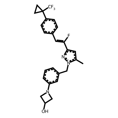 Cc1cc(/C(F)=C/c2ccc(C3(C(F)(F)F)CC3)cc2)nn1Cc1cccc(N2CC(O)C2)c1